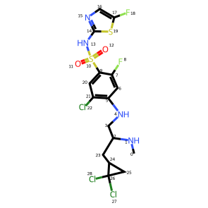 CNC(CNc1cc(F)c(S(=O)(=O)Nc2ncc(F)s2)cc1Cl)CC1CC1(Cl)Cl